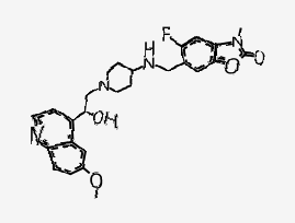 COc1ccc2nccc([C@H](O)CN3CCC(NCc4cc5oc(=O)n(C)c5cc4F)CC3)c2c1